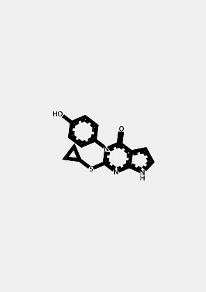 O=c1c2cc[nH]c2nc(SC2CC2)n1-c1ccc(O)cc1